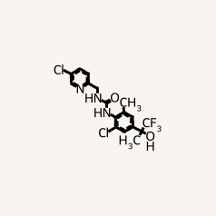 Cc1cc(C(C)(O)C(F)(F)F)cc(Cl)c1NC(=O)NCc1ccc(Cl)cn1